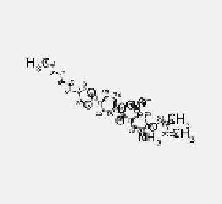 CCCCCC=C[C@H]1CO[C@H](c2ccc(OC(=O)c3cc(N)c(OC[C@@H](C)CC)cc3[N+](=O)[O-])cc2)OC1